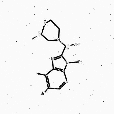 CCC[C@H](c1nc2c(C)c(Br)cnc2n1CC)N1CCN[C@@H](C)C1